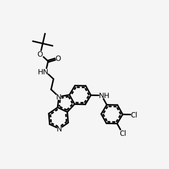 CC(C)(C)OC(=O)NCCn1c2ccncc2c2cc(Nc3ccc(Cl)c(Cl)c3)ccc21